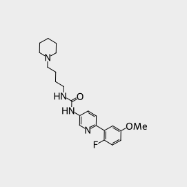 COc1ccc(F)c(-c2ccc(NC(=O)NCCCCN3CCCCC3)cn2)c1